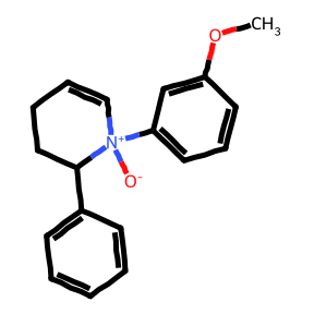 COc1cccc([N+]2([O-])C=CCCC2c2ccccc2)c1